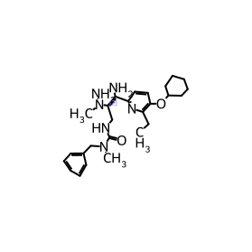 CCc1nc(/C(N)=C(\CNC(=O)N(C)Cc2ccccc2)N(C)N)ccc1OC1CCCCC1